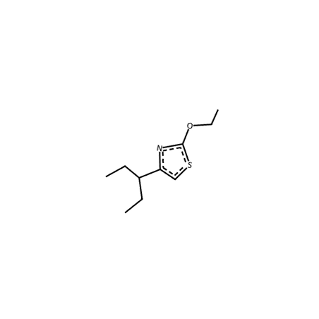 CCOc1nc(C(CC)CC)cs1